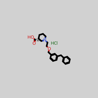 Cl.O=C(O)[C@@H]1CCCN(CCOCc2cccc(Cc3ccccc3)c2)C1